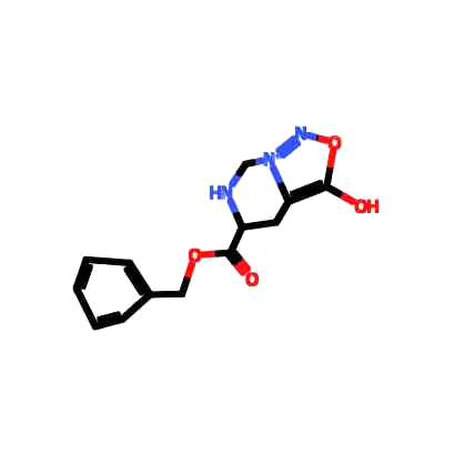 O=C(OCc1ccccc1)C1Cc2c(O)on[n+]2CN1